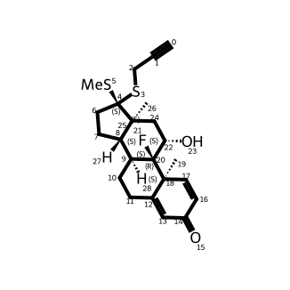 C#CCS[C@@]1(SC)CC[C@H]2[C@@H]3CCC4=CC(=O)C=C[C@]4(C)[C@@]3(F)[C@@H](O)C[C@@]21C